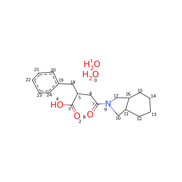 O.O.O=C(O)C(CC(=O)N1CC2CCCCC2C1)Cc1ccccc1